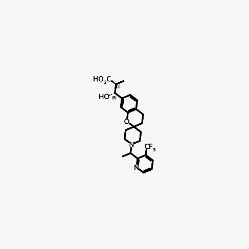 CC(c1ncccc1C(F)(F)F)N1CCC2(CCc3ccc([C@H](O)[C@H](C)C(=O)O)cc3O2)CC1